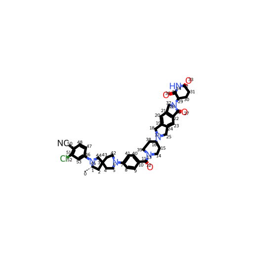 C[C@H]1CC2(CCN(c3ccc(C(=O)N4CCC(N5Cc6cc7c(cc6C5)C(=O)N(C5CCC(=O)NC5=O)C7)CC4)cc3)CC2)CN1c1ccc(C#N)c(Cl)c1